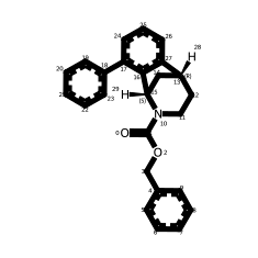 O=C(OCc1ccccc1)N1CC[C@@H]2C[C@H]1c1c(-c3ccccc3)cccc12